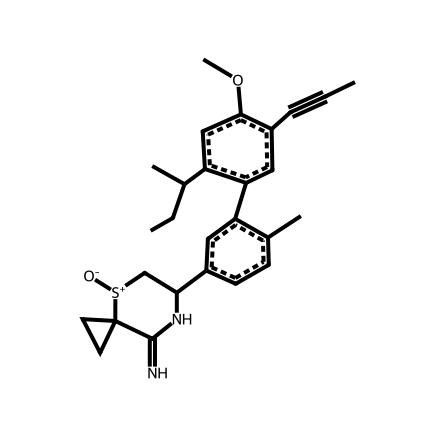 CC#Cc1cc(-c2cc(C3C[S+]([O-])C4(CC4)C(=N)N3)ccc2C)c(C(C)CC)cc1OC